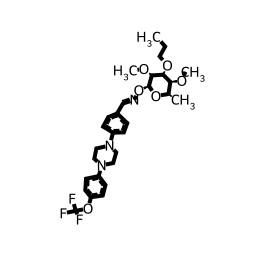 CCCO[C@@H]1[C@@H](OC)[C@H](C)O[C@@H](O/N=C/c2ccc(N3CCN(c4ccc(OC(F)(F)F)cc4)CC3)cc2)[C@@H]1OC